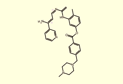 C=C(/N=C\C=C(/N)c1cccnc1)Nc1cc(OC(=O)c2ccc(CN3CCN(C)CC3)cc2)ccc1C